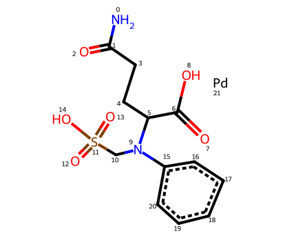 NC(=O)CCC(C(=O)O)N(CS(=O)(=O)O)c1ccccc1.[Pd]